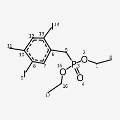 CCOP(=O)(Cc1cc(I)c(C)cc1I)OCC